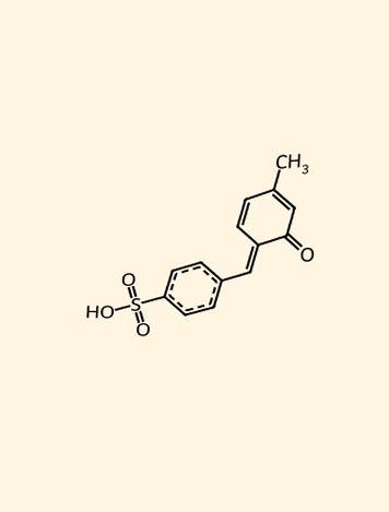 CC1=CC(=O)C(=Cc2ccc(S(=O)(=O)O)cc2)C=C1